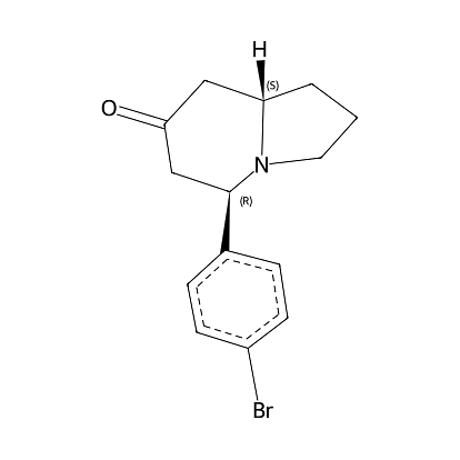 O=C1C[C@@H]2CCCN2[C@@H](c2ccc(Br)cc2)C1